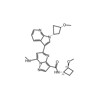 CNc1cc(-c2cn([C@H]3C[C@@H](OC)C3)c3ncccc23)nc2c(C(=O)N[C@H]3CC[C@@H]3OC)cnn12